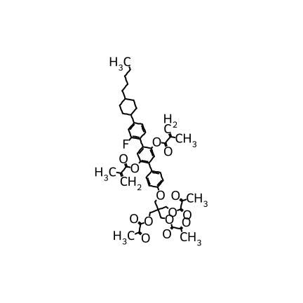 C=C(C)C(=O)Oc1cc(-c2ccc(C3CCC(CCCCC)CC3)cc2F)c(OC(=O)C(=C)C)cc1-c1ccc(OCC(COC(=O)C(C)=O)(COC(=O)C(C)=O)COC(=O)C(C)=O)cc1